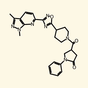 Cc1nn(C)c2nc(-c3noc(C4CCN(C(=O)C5CC(=O)N(c6ccccc6)C5)CC4)n3)ccc12